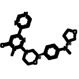 CN(c1ccc([C@H]2CN(c3nc(-c4ccncn4)cc(=O)n3C)CCO2)cc1)[C@@H]1CCOC1